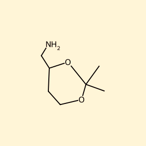 CC1(C)OCCC(CN)O1